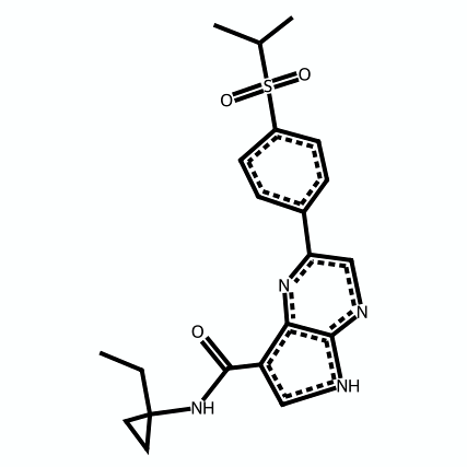 CCC1(NC(=O)c2c[nH]c3ncc(-c4ccc(S(=O)(=O)C(C)C)cc4)nc23)CC1